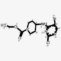 CCOC(=O)N1CCC(Nc2nc(Cl)ncc2Br)CC1